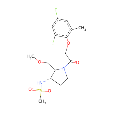 COCC1[C@@H](NS(C)(=O)=O)CCN1C(=O)COc1c(C)cc(F)cc1F